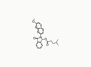 COc1ccc2ccc(N3C(=O)c4ccccc4C3OC(=O)CCC(C)C)nc2n1